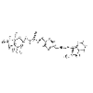 Cc1[nH]c2ccccc2c1CCNCc1ccc(/C=C/C(=O)NOC2C[C@@H]3OC(=O)O[C@@H]3[C@H](C)O2)cc1